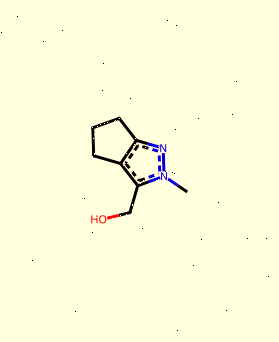 Cn1nc2c(c1CO)CCC2